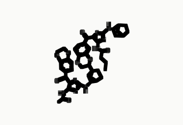 CCCC(=O)Nc1nc(N[C@H]2CC3CCC2C3)sc1C(=O)c1ccc2c(c1)OC(C13CCC(C1)[C@@H](Nc1nc(NC(C)=O)c(C(=O)c4ccc5c(c4)OCCO5)s1)C3)CO2